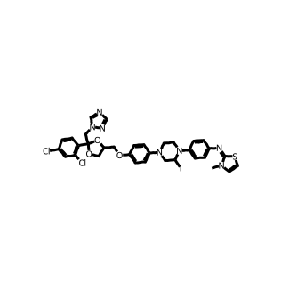 Cn1ccsc1=Nc1ccc(N2CCN(c3ccc(OCC4COC(Cn5cncn5)(c5ccc(Cl)cc5Cl)O4)cc3)CC2I)cc1